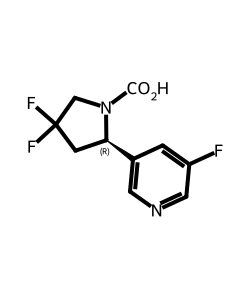 O=C(O)N1CC(F)(F)C[C@@H]1c1cncc(F)c1